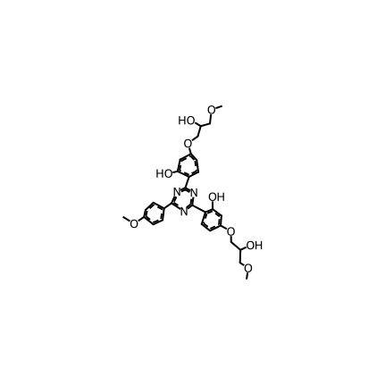 COCC(O)COc1ccc(-c2nc(-c3ccc(OC)cc3)nc(-c3ccc(OCC(O)COC)cc3O)n2)c(O)c1